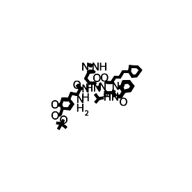 CC(C)C[C@@H](c1nc2ccccc2c(=O)[nH]1)N(NC(=O)C(Cc1c[nH]cn1)NC(=O)C(N)CC1=CC(=O)C(C(=O)OC(C)(C)C)C=C1)C(=O)CCCCC1CCCCC1